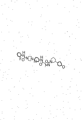 COc1ccc(C2CCCN(c3nc(C)c(C(=O)Nc4ccc(N5CCN(C(=O)Nc6ccccc6F)CC5)nc4)o3)C2)cc1